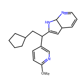 COc1ccc(C(CC2CCCC2)C2=CC3C=CC=NC3N2)cn1